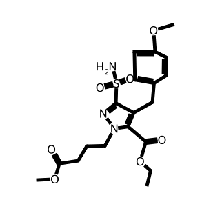 CCOC(=O)c1c(Cc2ccc(OC)cc2)c(S(N)(=O)=O)nn1CCCC(=O)OC